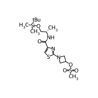 C[C@@H](CO[Si](C)(C)C(C)(C)C)NC(=O)c1csc(N2CC(OS(C)(=O)=O)C2)n1